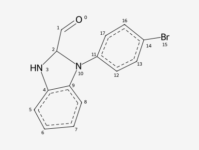 O=CC1Nc2ccccc2N1c1ccc(Br)cc1